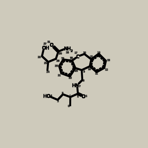 CC(CCO)C(=O)NCC1c2ccccc2CCc2ccccc21.CC(CO)CC(N)=O